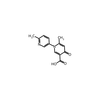 Cc1ccc(-n2cc(C(=O)O)c(=O)cc2C)cn1